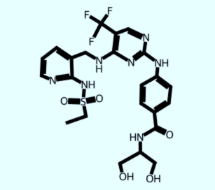 CCS(=O)(=O)Nc1ncccc1CNc1nc(Nc2ccc(C(=O)NC(CO)CO)cc2)ncc1C(F)(F)F